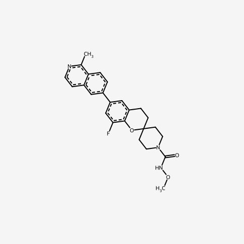 CONC(=O)N1CCC2(CCc3cc(-c4ccc5c(C)nccc5c4)cc(F)c3O2)CC1